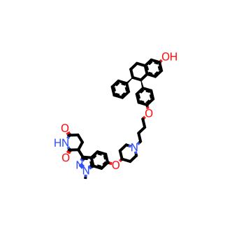 Cn1nc(C2CCC(=O)NC2=O)c2ccc(OC3CCN(CCCCOc4ccc([C@@H]5c6ccc(O)cc6CC[C@@H]5c5ccccc5)cc4)CC3)cc21